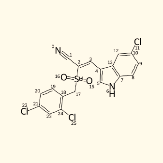 N#C/C(=C/c1c[nH]c2ccc(Cl)cc12)S(=O)(=O)Cc1ccc(Cl)cc1Cl